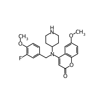 COc1ccc2oc(=O)cc(N(Cc3ccc(OC)c(F)c3)C3CCNCC3)c2c1